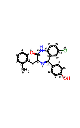 Bc1ccccc1CC1N=C(c2ccc(O)cc2)c2cc(Cl)ccc2NC1=O